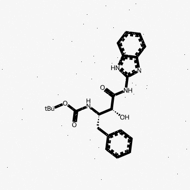 CC(C)(C)OC(=O)N[C@@H](Cc1ccccc1)[C@@H](O)C(=O)Nc1nc2ccccc2[nH]1